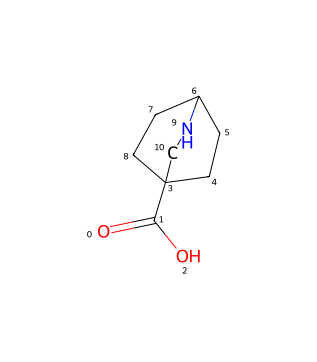 O=C(O)C12CCC(CC1)NC2